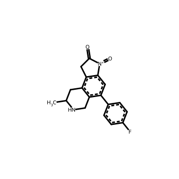 CC1Cc2c(c(-c3ccc(F)cc3)cc3c2CC(=O)[N+]3=O)CN1